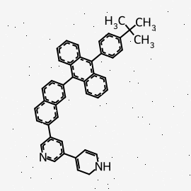 CC(C)(C)c1ccc(-c2c3ccccc3c(-c3ccc4ccc(-c5cncc(C6=CCNC=C6)c5)cc4c3)c3ccccc23)cc1